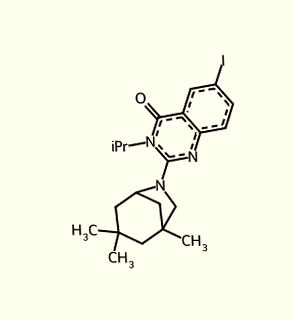 CC(C)n1c(N2CC3(C)CC2CC(C)(C)C3)nc2ccc(I)cc2c1=O